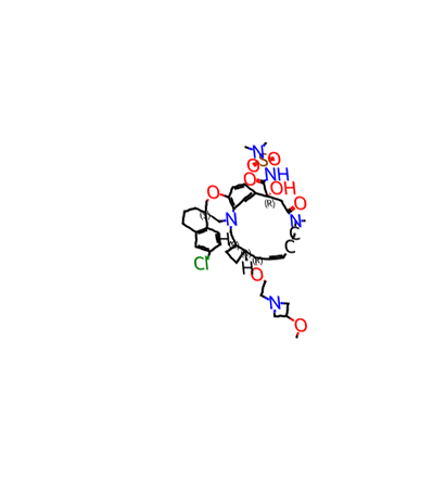 COC1CN(CCO[C@H]2C=CCCN(C)C(=O)C[C@](O)(C(=O)NS(=O)(=O)N(C)C)c3ccc4c(c3)N(C[C@@H]3CC[C@H]32)C[C@@]2(CCCc3cc(Cl)ccc32)CO4)C1